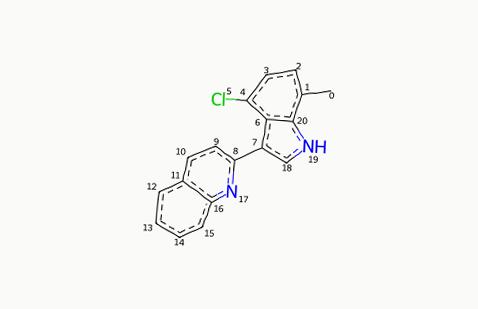 Cc1ccc(Cl)c2c(-c3ccc4ccccc4n3)c[nH]c12